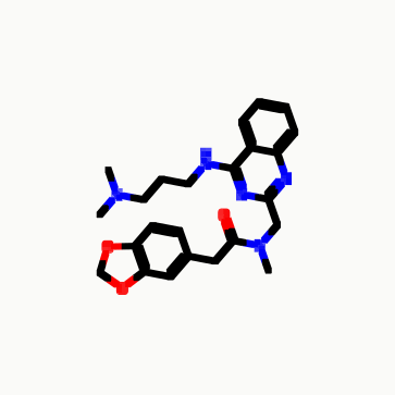 CN(C)CCCNc1nc(CN(C)C(=O)Cc2ccc3c(c2)OCO3)nc2ccccc12